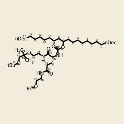 CCCCCCCCCCCCCCCCCCC(CCCCCCCCCCCCCCCCC)OC(=O)N[C@H](CCC(=O)NCCOCC)C(=O)NCCOC(C)(C)COC(C)(C)C